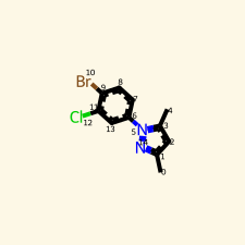 Cc1cc(C)n(-c2ccc(Br)c(Cl)c2)n1